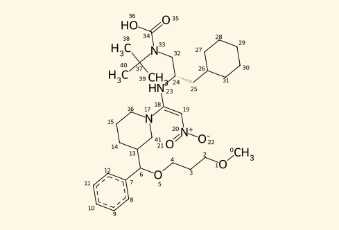 COCCCOC(c1ccccc1)C1CCCN(C(=C[N+](=O)[O-])N[C@@H](CC2CCCCC2)CN(C(=O)O)C(C)(C)C)C1